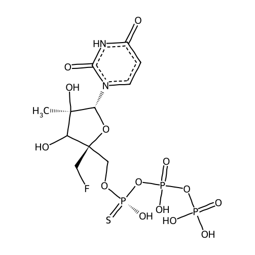 C[C@@]1(O)C(O)[C@@](CF)(CO[P@](O)(=S)OP(=O)(O)OP(=O)(O)O)O[C@H]1n1ccc(=O)[nH]c1=O